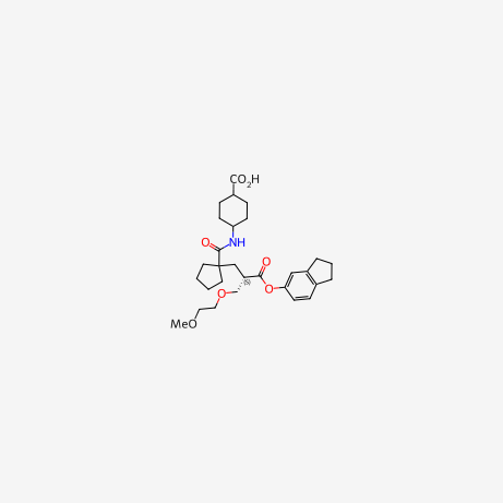 COCCOC[C@H](CC1(C(=O)NC2CCC(C(=O)O)CC2)CCCC1)C(=O)Oc1ccc2c(c1)CCC2